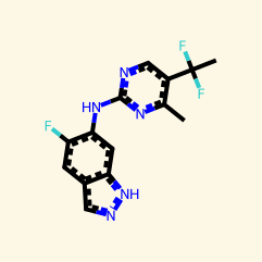 Cc1nc(Nc2cc3[nH]ncc3cc2F)ncc1C(C)(F)F